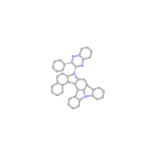 c1ccc(-c2nc3ccccc3nc2-n2c3ccc4ccccc4c3c3c4c5ccccc5n5c6ccccc6c(cc32)c45)cc1